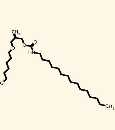 C=C(COCCCCCCO)COC(=O)NCCCCCCCCCCCCCCC